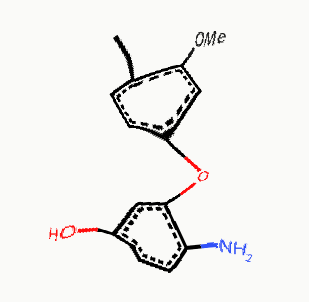 COc1cc(Oc2cc(O)ccc2N)ccc1C